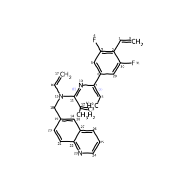 C=Cc1c(F)cc(C(=C/C)/N=C(\C(=C)C)N(C=C)Cc2ccc3ncccc3c2)cc1F